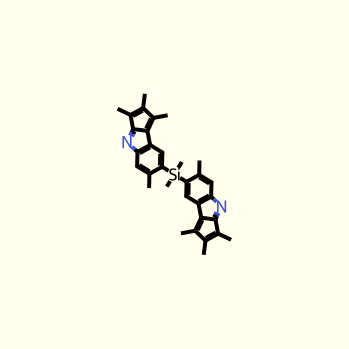 CC1=C(C)C(C)=C2C1=Nc1cc(C)c([Si](C)(C)c3cc4c(cc3C)N=C3C(C)=C(C)C(C)=C34)cc12